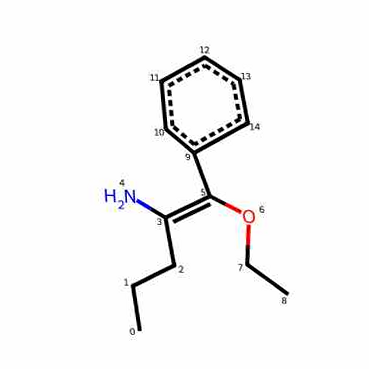 CCCC(N)=C(OCC)c1ccccc1